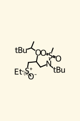 CC[S@@+]([O-])CC(CN(C(C)(C)C)S(C)(=O)=O)OC(C)C(C)(C)C